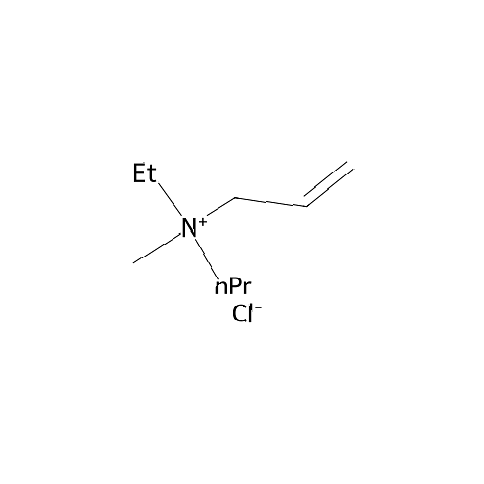 C=CC[N+](C)(CC)CCC.[Cl-]